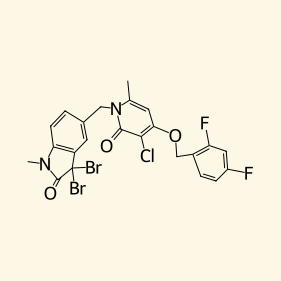 Cc1cc(OCc2ccc(F)cc2F)c(Cl)c(=O)n1Cc1ccc2c(c1)C(Br)(Br)C(=O)N2C